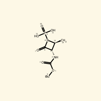 CCC(C)OC(=O)N[C@@H]1C(=O)N(P(=O)(O)O)[C@H]1C